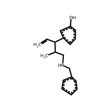 C=CC(c1cccc(O)c1)C(C)CNCc1ccccc1